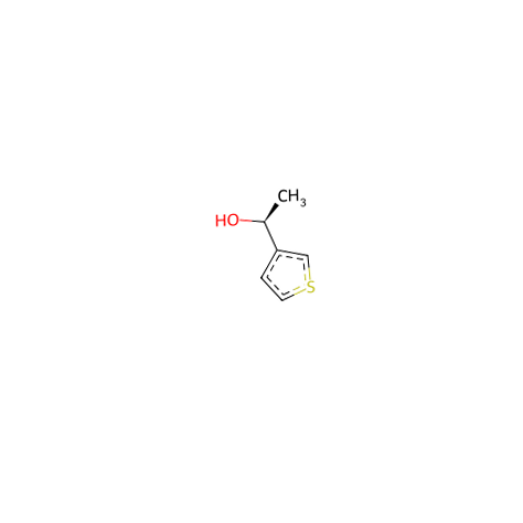 C[C@H](O)c1ccsc1